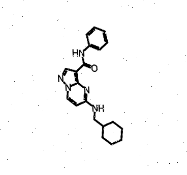 O=C(Nc1ccccc1)c1cnn2ccc(NCC3CCCCC3)nc12